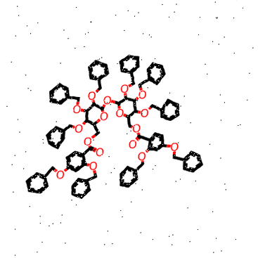 O=C(OCC1OC(OC2OC(COC(=O)c3ccc(OCc4ccccc4)cc3OCc3ccccc3)C(OCc3ccccc3)C(OCc3ccccc3)C2OCc2ccccc2)C(OCc2ccccc2)C(OCc2ccccc2)C1OCc1ccccc1)c1ccc(OCc2ccccc2)cc1OCc1ccccc1